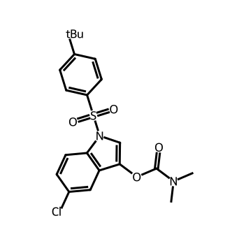 CN(C)C(=O)Oc1cn(S(=O)(=O)c2ccc(C(C)(C)C)cc2)c2ccc(Cl)cc12